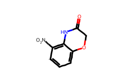 O=C1COc2cc[c]c([N+](=O)[O-])c2N1